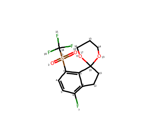 O=S(=O)(c1ccc(F)c2c1C1(CC2)OCCCO1)C(F)(F)F